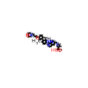 Cc1c(Nc2nccc3cc(CN4CCC(C(=O)O)C4)cnc23)cccc1-c1cccc(OCCCN2CCOCC2)c1C